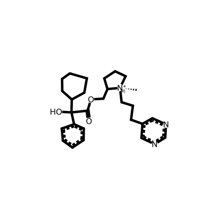 C[N@@+]1(CCCc2cncnc2)CCCC1COC(=O)C(O)(c1ccccc1)C1CCCCC1